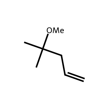 C=CCC(C)(C)OC